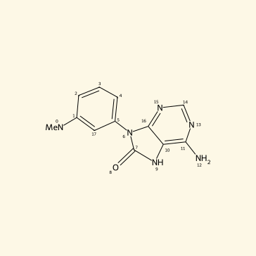 CNc1cccc(-n2c(=O)[nH]c3c(N)ncnc32)c1